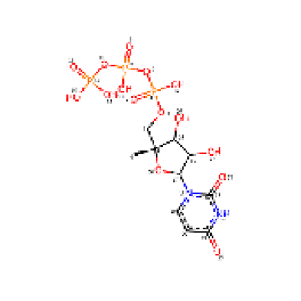 C[C@]1(COP(=O)(O)OP(=O)(O)OP(=O)(O)O)OC(n2ccc(=O)[nH]c2=O)C(O)C1O